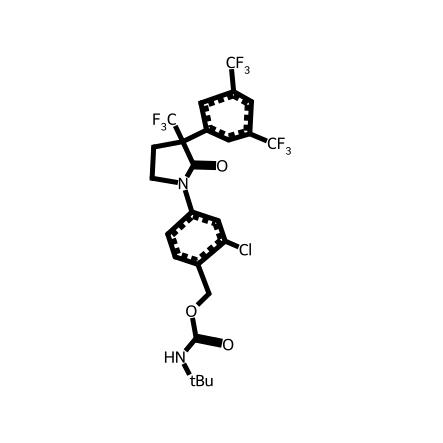 CC(C)(C)NC(=O)OCc1ccc(N2CCC(c3cc(C(F)(F)F)cc(C(F)(F)F)c3)(C(F)(F)F)C2=O)cc1Cl